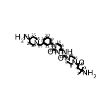 CC(C)(N)CC(=O)N1CCN(C(=O)Nc2ccn(-c3cccc(CN4CCC(N)CC4)c3)c(=O)n2)CC1